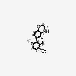 CCc1ccc(F)c(-c2ccc3c(c2)NCCO3)c1F